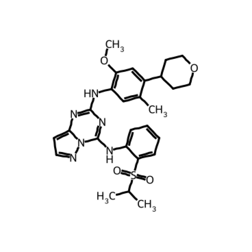 COc1cc(C2CCOCC2)c(C)cc1Nc1nc(Nc2ccccc2S(=O)(=O)C(C)C)n2nccc2n1